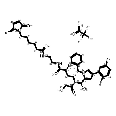 CC(C)(C)[C@H](c1cc(-c2cc(F)ccc2F)cn1Cc1ccccc1)N(CC[C@H](N)C(=O)NCCNC(=O)CCCCCN1C(=O)C=CC1=O)C(=O)CO.O=C(O)C(F)(F)F